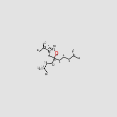 CC(C)CCCC(CCC(C)C)(CCC(C)C)[O][Sn]